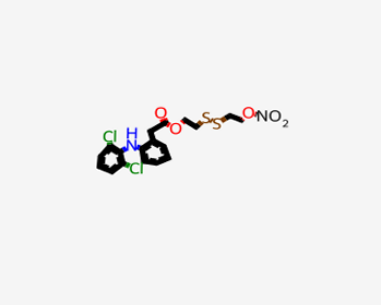 O=C(Cc1ccccc1Nc1c(Cl)cccc1Cl)OCCSSCCO[N+](=O)[O-]